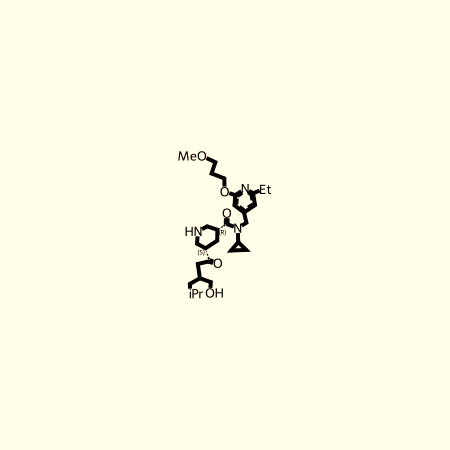 CCc1cc(CN(C(=O)[C@H]2CNC[C@@H](C(=O)CC(CO)CC(C)C)C2)C2CC2)cc(OCCCOC)n1